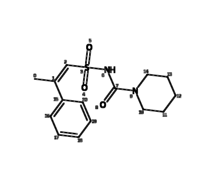 CC(=CS(=O)(=O)NC(=O)N1CCCCC1)c1ccccc1